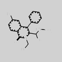 CC(C)Cn1c(C(NC(=O)O)C(C)(C)C)c(-c2ccccc2)c2cc(Br)ccc2c1=O